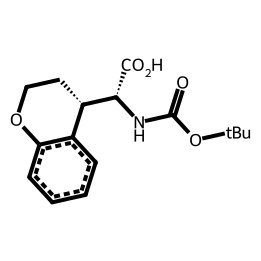 CC(C)(C)OC(=O)N[C@@H](C(=O)O)[C@H]1CCOc2ccccc21